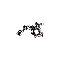 CC[C@H]1OC(=O)[C@H](C)[C@@H](O[C@H]2C[C@@](C)(OC)[C@@H](O)[C@H](C)O2)[C@H](C)[C@@H](O[C@@H]2O[C@H](C)C[C@H](N(C)CCc3cn(CCOc4cccc(S(C)(=O)=O)c4)nn3)[C@H]2O)[C@@]2(C)C[C@@H](CO2)C(=O)[C@H](C)[C@@H](O)[C@]1(C)O